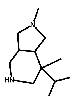 CC(C)C1(C)CNCC2CN(C)CC21